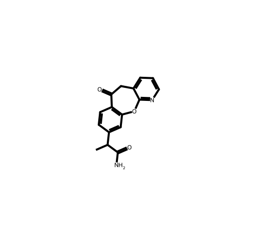 CC(C(N)=O)c1ccc2c(c1)Oc1ncccc1CC2=O